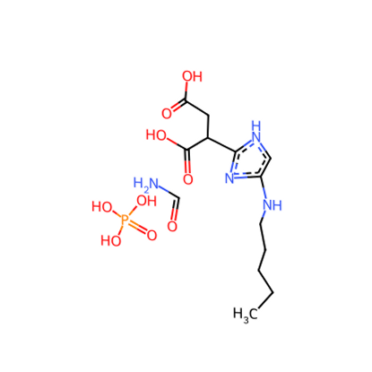 CCCCCNc1c[nH]c(C(CC(=O)O)C(=O)O)n1.NC=O.O=P(O)(O)O